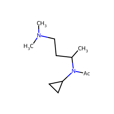 CC(=O)N(C(C)CCN(C)C)C1CC1